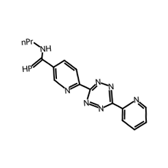 CCCNC(=P)c1ccc(-c2nnc(-c3ccccn3)nn2)nc1